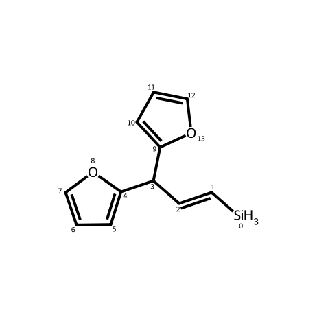 [SiH3]C=CC(c1ccco1)c1ccco1